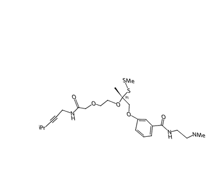 CNCCNC(=O)c1cccc(OC[C@](C)(OCCOCC(=O)NCC#CC(C)C)SSC)c1